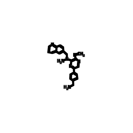 C=Nc1ncc(-c2ccc(CN)cc2)nc1N(N)Cc1ccc2ncccc2c1